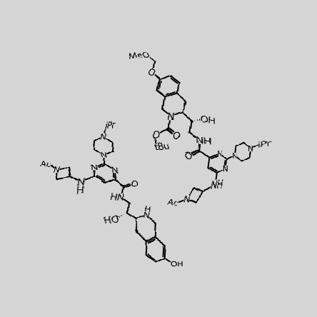 CC(=O)N1CC(Nc2cc(C(=O)NC[C@@H](O)[C@@H]3Cc4ccc(O)cc4CN3)nc(N3CCN(C(C)C)CC3)n2)C1.COCOc1ccc2c(c1)CN(C(=O)OC(C)(C)C)[C@H]([C@H](O)CNC(=O)c1cc(NC3CN(C(C)=O)C3)nc(N3CCN(C(C)C)CC3)n1)C2